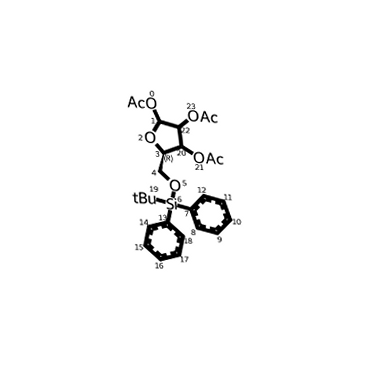 CC(=O)OC1O[C@H](CO[Si](c2ccccc2)(c2ccccc2)C(C)(C)C)C(OC(C)=O)C1OC(C)=O